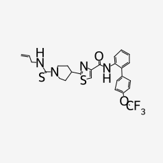 C=CCNC(=S)N1CCC(c2nc(C(=O)Nc3ccccc3-c3ccc(OC(F)(F)F)cc3)cs2)CC1